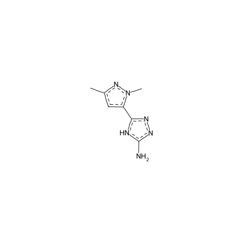 Cc1cc(-c2nnc(N)[nH]2)n(C)n1